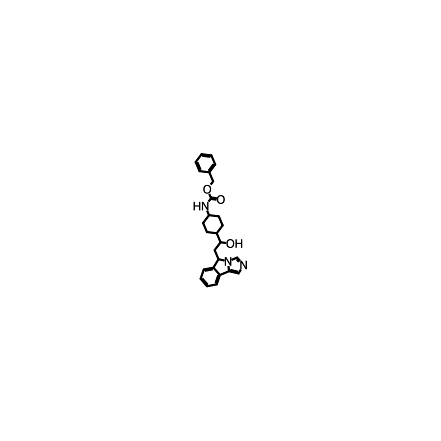 O=C(NC1CCC(C(O)CC2c3ccccc3-c3cncn32)CC1)OCc1ccccc1